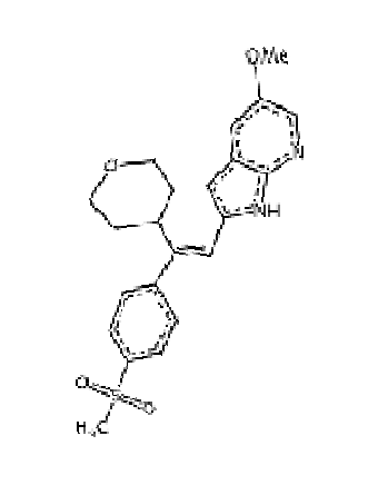 COc1cnc2[nH]c(C=C(c3ccc(S(C)(=O)=O)cc3)C3CCOCC3)cc2c1